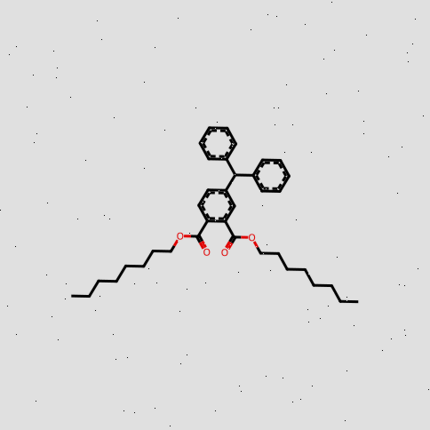 CCCCCCCCOC(=O)c1ccc(C(c2ccccc2)c2ccccc2)cc1C(=O)OCCCCCCCC